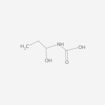 [CH2]CC(O)NC(=O)O